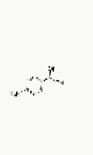 Nc1ccc(C(O)O)cc1